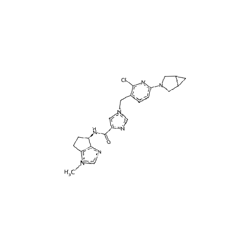 Cn1cnc2c1CC[C@H]2NC(=O)c1cn(Cc2ccc(N3CC4CC4C3)nc2Cl)cn1